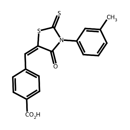 Cc1cccc(N2C(=O)/C(=C\c3ccc(C(=O)O)cc3)SC2=S)c1